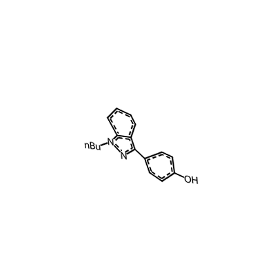 CCCCn1nc(-c2ccc(O)cc2)c2ccccc21